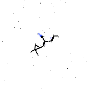 C/C=C/C(C#N)=C/C1CC1(C)C